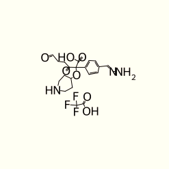 NN=Cc1ccc(C(OC2CCNCC2)(C(=O)O)C(=O)CCC=O)cc1.O=C(O)C(F)(F)F